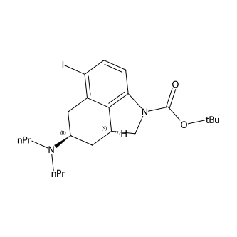 CCCN(CCC)[C@H]1Cc2c(I)ccc3c2[C@H](C1)CN3C(=O)OC(C)(C)C